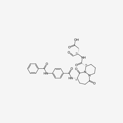 O=C[C@H](CC(=O)O)NC(=O)[C@@H]1CCCN2C(=O)CC[C@H](NC(=O)c3ccc(NC(=O)c4ccccc4)cc3)C(=O)N12